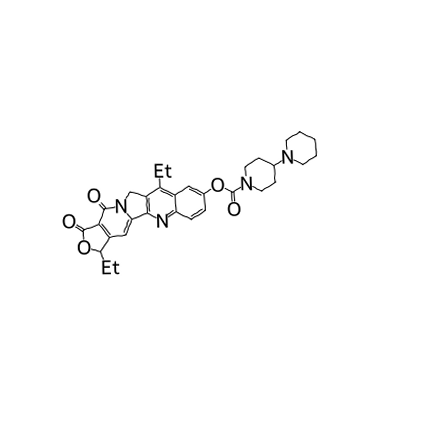 CCc1c2c(nc3ccc(OC(=O)N4CCC(N5CCCCC5)CC4)cc13)-c1cc3c(c(=O)n1C2)C(=O)OC3CC